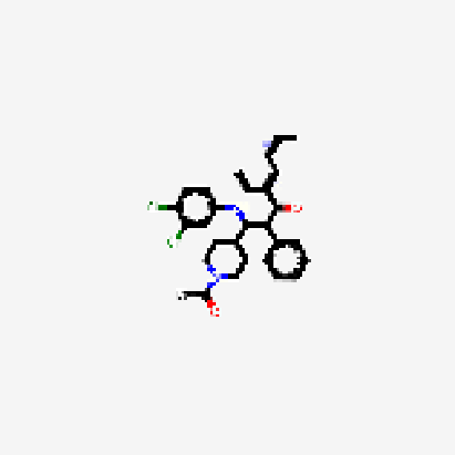 C=C/C(=C\C=C/C)C(=O)C(c1ccccc1)C(Nc1ccc(Cl)c(Cl)c1)C1CCN(C(=O)CC)CC1